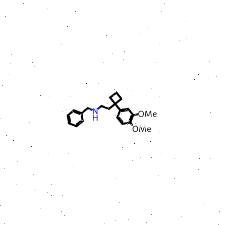 COc1ccc(C2(CCNCc3ccccc3)CCC2)cc1OC